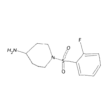 NC1CCN(S(=O)(=O)c2ccccc2F)CC1